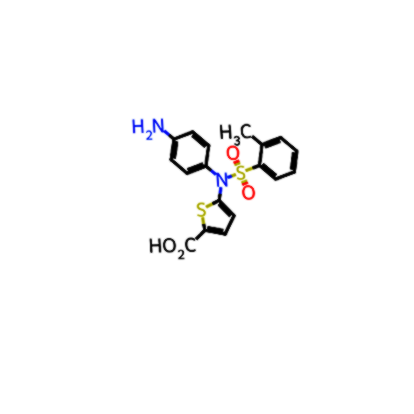 Cc1ccccc1S(=O)(=O)N(c1ccc(N)cc1)c1ccc(C(=O)O)s1